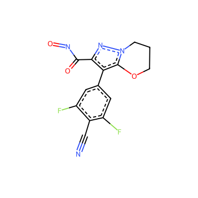 N#Cc1c(F)cc(-c2c(C(=O)N=O)nn3c2OCCC3)cc1F